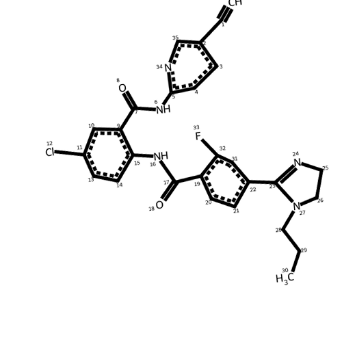 C#Cc1ccc(NC(=O)c2cc(Cl)ccc2NC(=O)c2ccc(C3=NCCN3CCC)cc2F)nc1